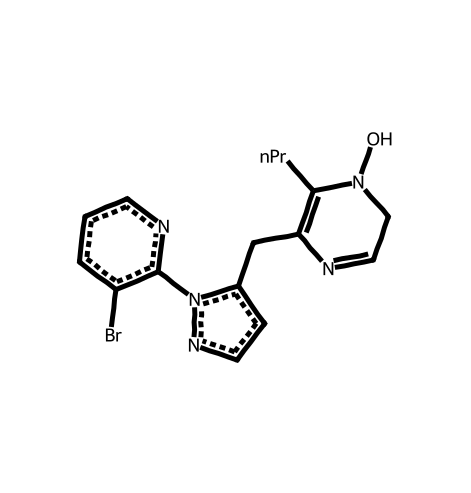 CCCC1=C(Cc2ccnn2-c2ncccc2Br)N=CCN1O